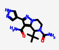 CC(C)(C)C1c2c(C(N)=O)c(-c3cn[nH]c3)nn2CCN1C(N)=O